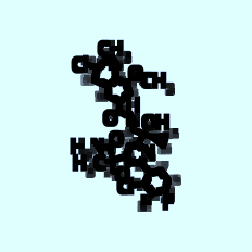 COc1cc(C(=O)NC[C@](O)(c2cc3c(c(-c4ccc(F)c(F)c4Cl)n2)OC[C@]3(C)C(N)=O)C2CC2)cc2cc(Cl)c(C)nc12